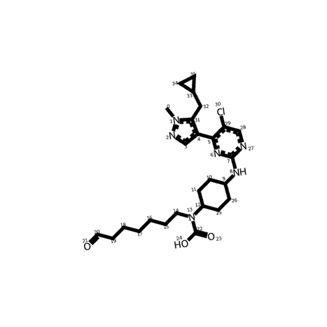 Cn1ncc(-c2nc(NC3CCC(N(CCCCCCC=O)C(=O)O)CC3)ncc2Cl)c1CC1CC1